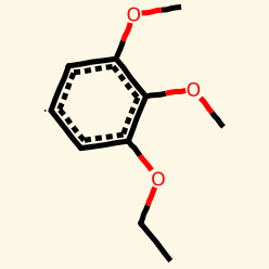 CCOc1c[c]cc(OC)c1OC